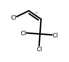 Cl/C=C\C(Cl)(Cl)Cl